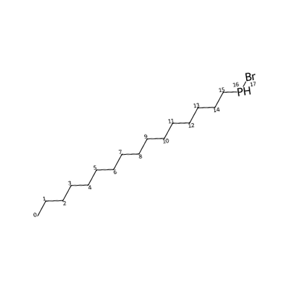 CCCCCCCCCCCCCCCCPBr